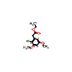 CCOC(=O)Cc1cc(OC)cc(OC)c1F